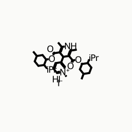 CC1=C(C(=O)OC2CC(C)CCC2C(C)C)C(c2ccc[n+](C)c2)C(C(=O)OC2CC(C)CCC2C(C)C)=C(C)N1.I.[I-]